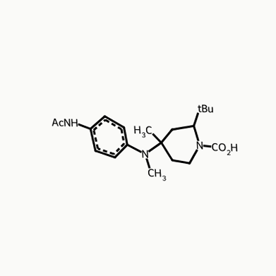 CC(=O)Nc1ccc(N(C)C2(C)CCN(C(=O)O)C(C(C)(C)C)C2)cc1